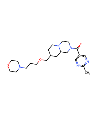 Cc1ncc(C(=O)N2CCN3CCC(COCCCN4CCOCC4)CC3C2)cn1